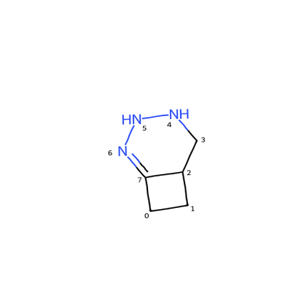 C1CC2CNNN=C12